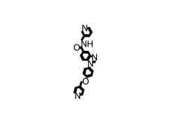 O=C(NCc1cccnc1)c1ccc2c(c1)ncn2-c1ccc(OCc2ccncc2)cc1